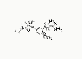 COc1ccc(C#CC2(O)CCN(C)C2=O)cc1-c1nc2c(N)ncnc2s1